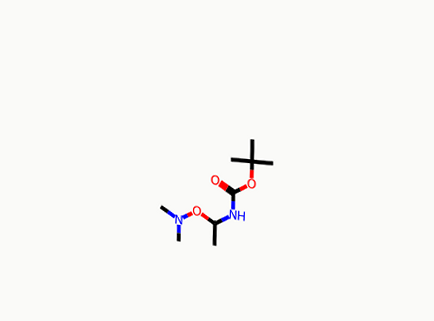 C[C](NC(=O)OC(C)(C)C)ON(C)C